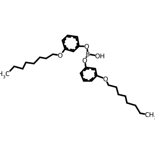 CCCCCCCCOc1cccc(OB(O)Oc2cccc(OCCCCCCCC)c2)c1